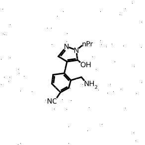 [CH2]CCn1ncc(-c2ccc(C#N)cc2CN)c1O